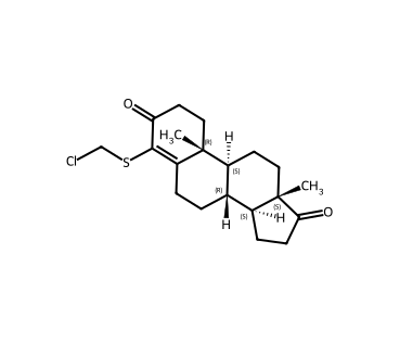 C[C@]12CCC(=O)C(SCCl)=C1CC[C@@H]1[C@@H]2CC[C@]2(C)C(=O)CC[C@@H]12